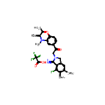 COc1cc2c(c(F)c1OC)C(=N)N(CC(=O)c1ccc3c(c1)N(C)C(C(C)(C)C)C(C(=O)O)O3)C2.O=C(O)C(F)(F)F